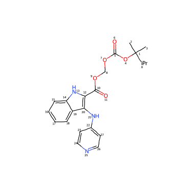 CC(C)C(C)(C)OC(=O)OCOC(=O)c1[nH]c2ccccc2c1Nc1ccncc1